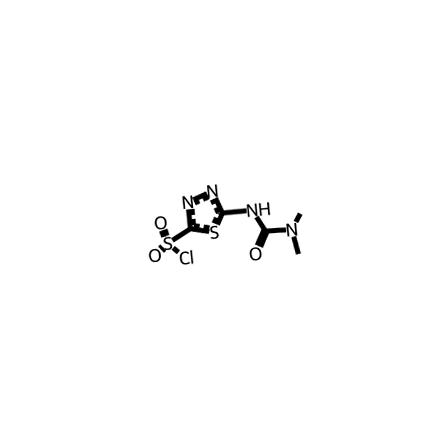 CN(C)C(=O)Nc1nnc(S(=O)(=O)Cl)s1